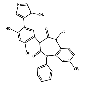 CCN1C(=O)C(c2cc(-c3cncn3C)c(O)cc2O)C(=O)N(c2ccccc2)c2cc(C(F)(F)F)ccc21